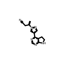 C=C(CC#N)n1cc(-c2ncnc3c2CCN3)cn1